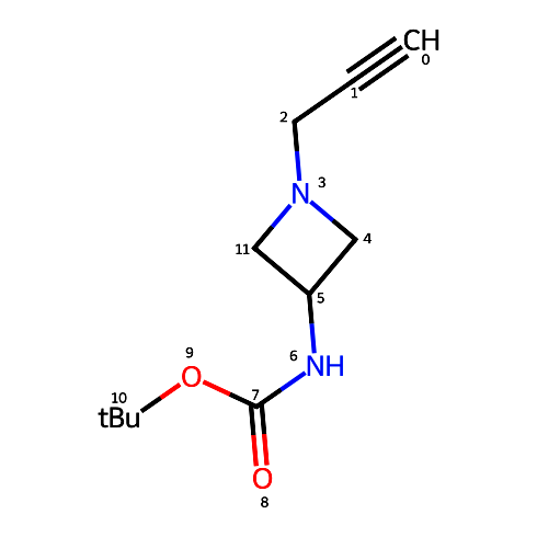 C#CCN1CC(NC(=O)OC(C)(C)C)C1